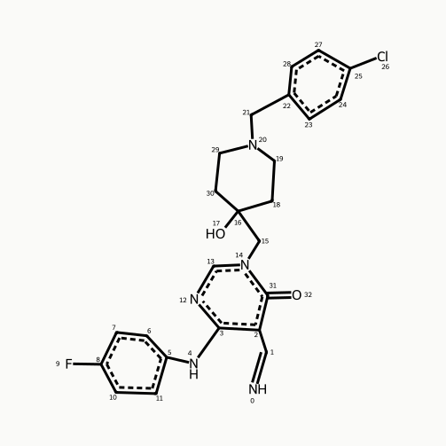 N=Cc1c(Nc2ccc(F)cc2)ncn(CC2(O)CCN(Cc3ccc(Cl)cc3)CC2)c1=O